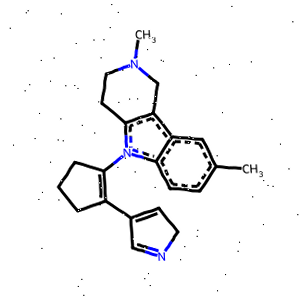 Cc1ccc2c(c1)c1c(n2C2=C(C3=CCN=C3)CCC2)CCN(C)C1